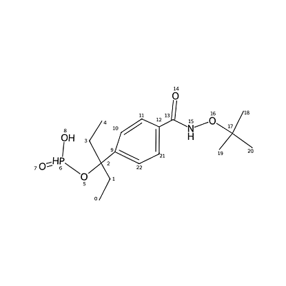 CCC(CC)(O[PH](=O)O)c1ccc(C(=O)NOC(C)(C)C)cc1